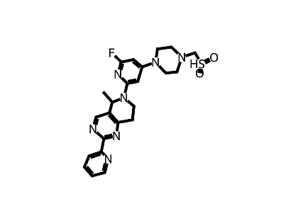 CC1c2cnc(-c3ccccn3)nc2CCN1c1cc(N2CCN(C[SH](=O)=O)CC2)cc(F)n1